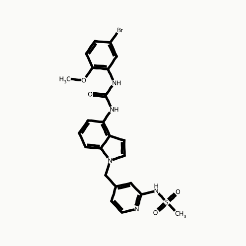 COc1ccc(Br)cc1NC(=O)Nc1cccc2c1ccn2Cc1ccnc(NS(C)(=O)=O)c1